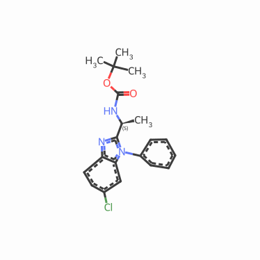 C[C@H](NC(=O)OC(C)(C)C)c1nc2ccc(Cl)cc2n1-c1ccccc1